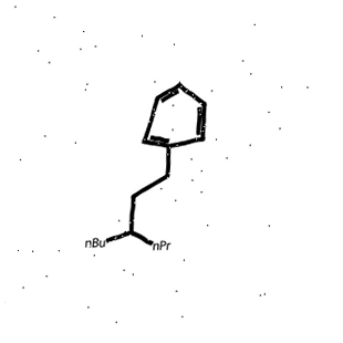 CCCCC(CCC)CCc1cc[c]cc1